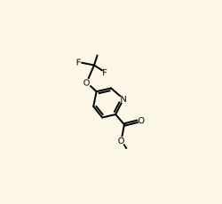 COC(=O)c1ccc(OC(C)(F)F)cn1